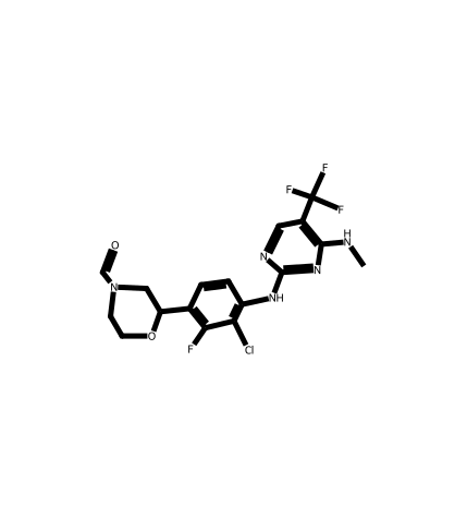 CNc1nc(Nc2ccc(C3CN(C=O)CCO3)c(F)c2Cl)ncc1C(F)(F)F